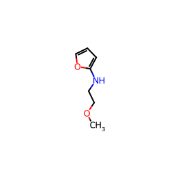 COCCNc1ccco1